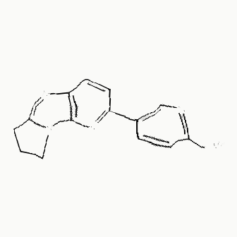 COc1ccc(-c2ccc3nc4n(c3n2)CCC4)cn1